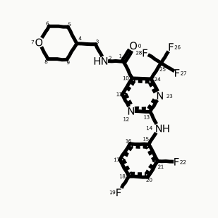 O=C(NCC1CCOCC1)c1cnc(Nc2ccc(F)cc2F)nc1C(F)(F)F